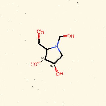 OCC1[C@@H](O)[C@H](O)CN1CO